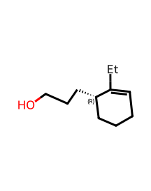 CCC1=CCCC[C@@H]1CCCO